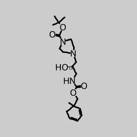 CC1(COC(=O)NC[C@H](O)CN2CCN(C(=O)OC(C)(C)C)CC2)C=CC=CC1